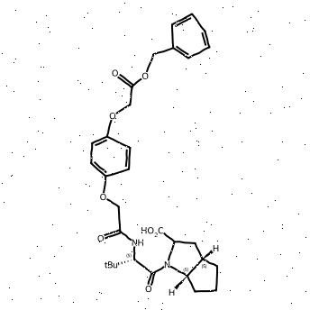 CC(C)(C)[C@H](NC(=O)COc1ccc(OCC(=O)OCc2ccccc2)cc1)C(=O)N1C(C(=O)O)C[C@@H]2CCC[C@@H]21